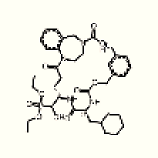 CCOP(=O)(OCC)C(O)[C@H](CCC(=O)N1CCN(C(=O)O)Cc2ccccc21)NC(=O)[C@H](CC1CCCCC1)NC(=O)OCc1cccc(Cl)c1